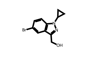 OCc1nn(C2CC2)c2ccc(Br)cc12